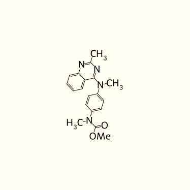 COC(=O)N(C)c1ccc(N(C)c2nc(C)nc3ccccc23)cc1